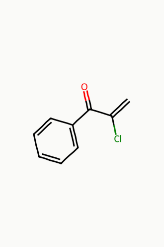 C=C(Cl)C(=O)c1ccccc1